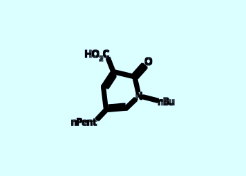 CCCCCc1cc(C(=O)O)c(=O)n(CCCC)c1